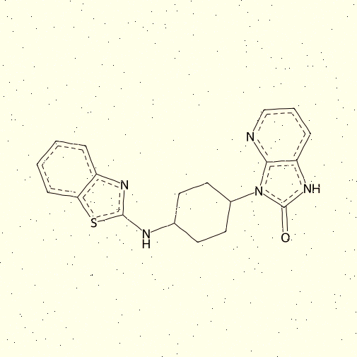 O=c1[nH]c2cccnc2n1C1CCC(Nc2nc3ccccc3s2)CC1